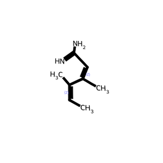 C/C=C(C)\C(C)=C/C(=N)N